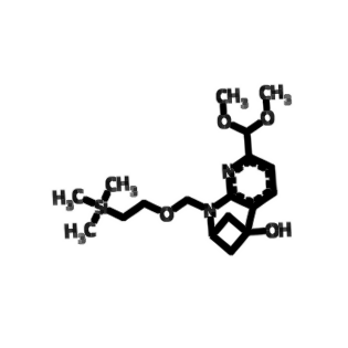 COC(OC)c1ccc2c(n1)N(COCC[Si](C)(C)C)C1CC2(O)C1